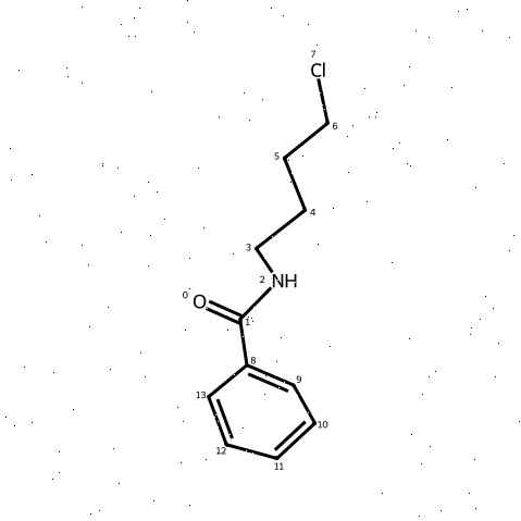 O=C(NCCCCCl)c1ccccc1